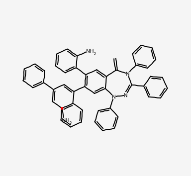 C=C1c2cc(-c3ccccc3N)c(C(=C/C(=C\CN)c3ccccc3)c3ccccc3)cc2N(c2ccccc2)N=C(c2ccccc2)N1c1ccccc1